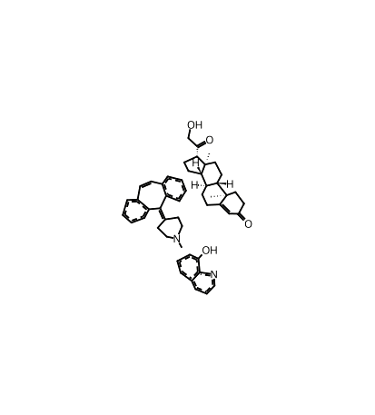 CN1CCC(=C2c3ccccc3C=Cc3ccccc32)CC1.C[C@]12CC[C@H]3[C@@H](CCC4=CC(=O)CC[C@@]43C)[C@@H]1CC[C@@H]2C(=O)CO.Oc1cccc2cccnc12